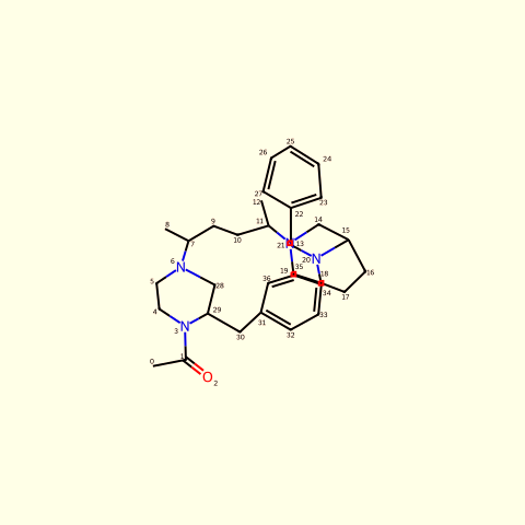 CC(=O)N1CCN(C(C)CCC(C)N2CC3CCC(C2)N3Cc2ccccc2)CC1Cc1ccccc1